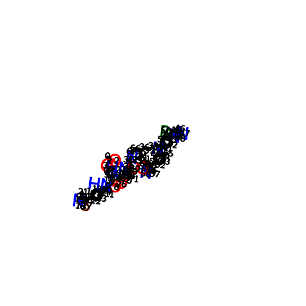 CC(=O)O[C@@H]1C[C@@H](C(=O)N[C@@H](C)c2ccc(-c3scnc3C)cc2)N(C(=O)[C@@H](NC(=O)CN2CCC(CCCN(c3ccc(-n4ccnc4)c(Br)c3)c3cc(-c4c(C)noc4C)ccc3C)CC2)C(C)(C)C)C1